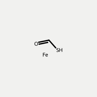 O=CS.[Fe]